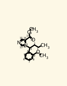 CCCC(c1ccccc1OC)n1cncc1C(=O)OC